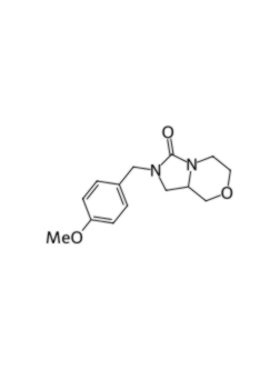 COc1ccc(CN2CC3COCCN3C2=O)cc1